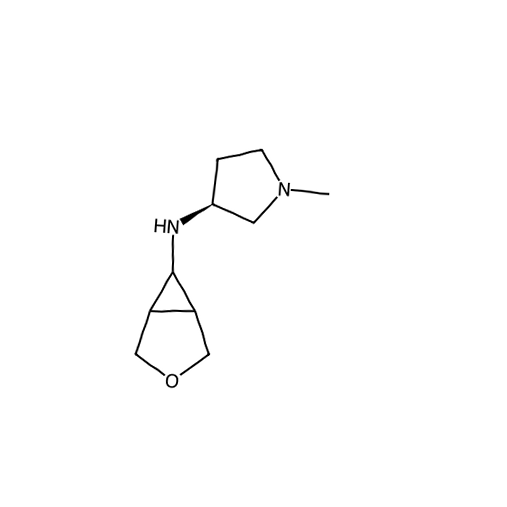 CN1CC[C@H](NC2C3COCC32)C1